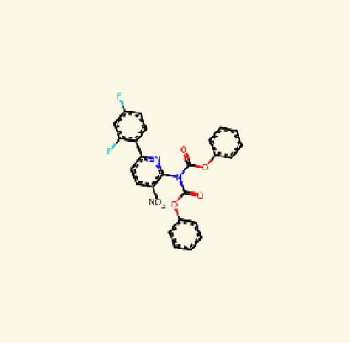 O=C(Oc1ccccc1)N(C(=O)Oc1ccccc1)c1nc(-c2ccc(F)cc2F)ccc1[N+](=O)[O-]